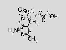 Cc1ncc(C[n+]2csc(CCOC(=O)CO)c2C)c(N)n1.[Cl-]